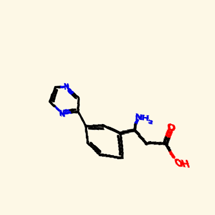 NC(CC(=O)O)c1cccc(-c2cnccn2)c1